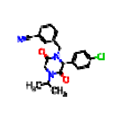 CC(C)N1CC(=O)N(Cc2cccc(C#N)c2)C(c2ccc(Cl)cc2)C1=O